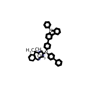 C\C1=C/C(N(c2ccc(-c3ccccc3)cc2)c2ccc(-c3ccc4c(c3)c3ccccc3n4-c3ccccc3)cc2)=C\C=C\C2=C(C=CCC2)C1(C)C